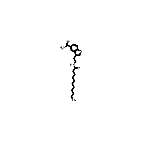 N#CCCCCCCCCCC(=O)NCCC1COc2ccc(C(=N)N)cc21